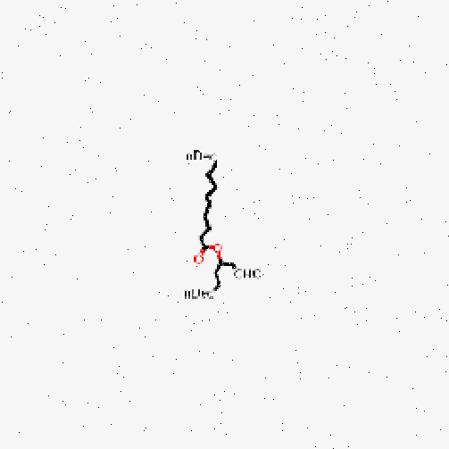 CCCCCCCCCCCCCCCCCCC(=O)OC(C[C]=O)CCCCCCCCCCCC